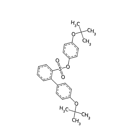 CC(C)(C)Oc1ccc(OS(=O)(=O)c2ccccc2-c2ccc(OC(C)(C)C)cc2)cc1